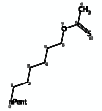 CCCCCCCCCCCOC(C)=S